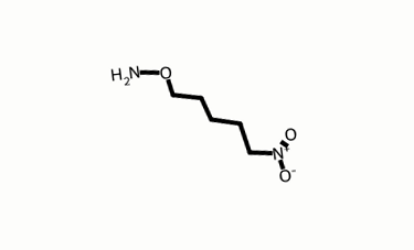 NOCCCCC[N+](=O)[O-]